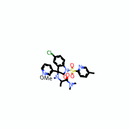 COc1ncccc1C1(N(C)C(C)C(=O)N(C)C)C(=O)N(S(=O)(=O)c2ccc(C)cn2)c2ccc(Cl)cc21